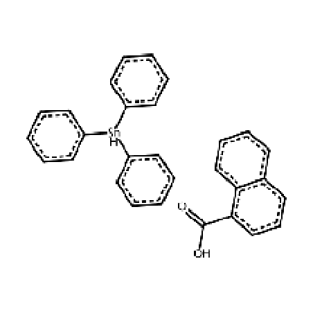 O=C(O)c1cccc2ccccc12.c1cc[c]([SnH]([c]2ccccc2)[c]2ccccc2)cc1